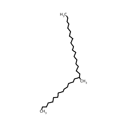 CCCCCCCCCCCCCCCCCCC(C)CCCCCCCCCCCCCC